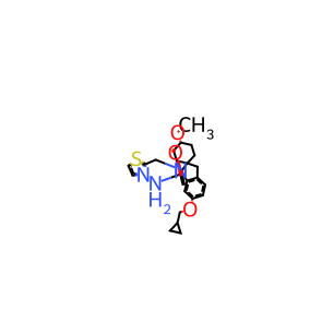 COC1CCC2(CC1)Cc1ccc(OCC3CC3)cc1C21N=C(N)N(Cc2nccs2)C1=O